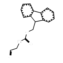 O=CCNC(=O)OCC1c2ccccc2-c2ccccc21